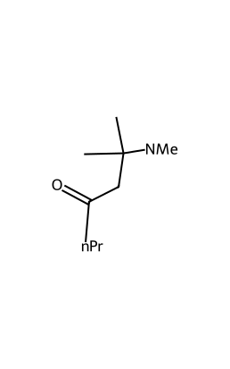 CCCC(=O)CC(C)(C)NC